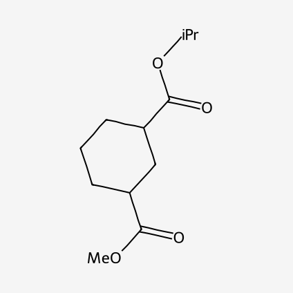 COC(=O)C1CCCC(C(=O)OC(C)C)C1